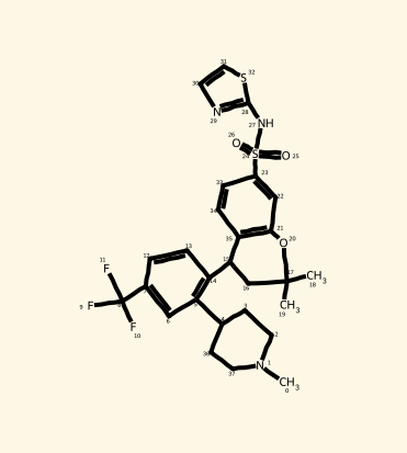 CN1CCC(c2cc(C(F)(F)F)ccc2C2CC(C)(C)Oc3cc(S(=O)(=O)Nc4nccs4)ccc32)CC1